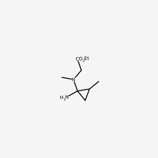 CCOC(=O)CN(C)C1(N)CC1C